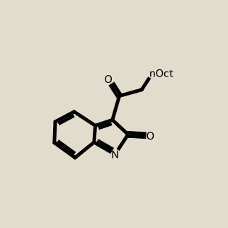 CCCCCCCCCC(=O)C1=c2ccccc2=NC1=O